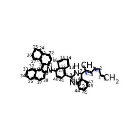 C=C/C=C\C=C(/C)C(N[C@@H](N)C1=C2C=CC=CC2C(n2c3ccc4ccccc4c3c3c4ccccc4ccc32)C=C1)c1ccccc1